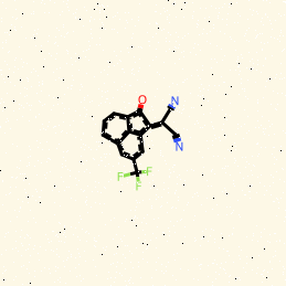 N#CC(C#N)=c1c(=O)c2cccc3cc(C(F)(F)F)cc1c32